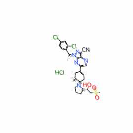 C[C@@H]1CC(c2cnc3c(C#N)nn([C@H](C)c4ccc(Cl)cc4Cl)c3n2)=CC[C@@H]1N1CCC[C@H]1C(O)CS(C)(=O)=O.Cl